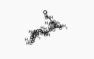 CC(C)[C@H](NC(=O)[C@H](N)CCCCNC(=O)COC1C#CCCCCC1)C(=O)N[C@@H](CCCNC(N)=O)C(=O)Nc1ccc(COC(=O)N[C@@H](CO)C(=O)Nc2ccc3c(c2)[C@@]2(C)CCC[C@](C)(C(=O)NC(=O)[C@@]4(C)CCC[C@]5(C)c6cc(O)ccc6CC[C@@H]45)[C@@H]2CC3)cc1